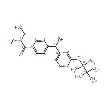 CCN(C)C(=O)c1ccc(C(O)c2cccc(O[Si](C)(C)C(C)(C)C)c2)cc1